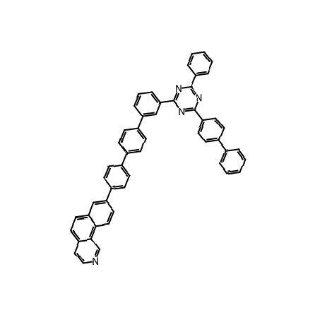 c1ccc(-c2ccc(-c3nc(-c4ccccc4)nc(-c4cccc(-c5ccc(-c6ccc(-c7ccc8c(ccc9ccncc98)c7)cc6)cc5)c4)n3)cc2)cc1